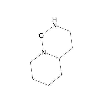 C1CCN2ONCCC2C1